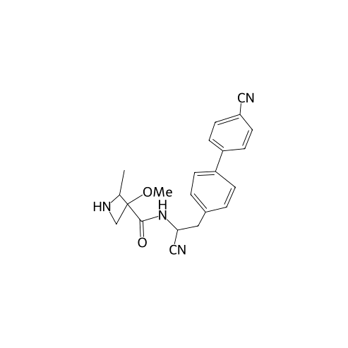 COC1(C(=O)NC(C#N)Cc2ccc(-c3ccc(C#N)cc3)cc2)CNC1C